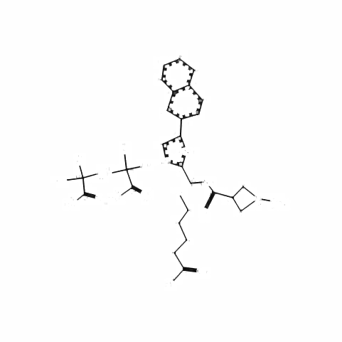 CCC(=O)CCCCC[C@@H](NC(=O)C1CN(C)C1)c1ncc(-c2ccc3ccccc3c2)[nH]1.O=C(O)C(F)(F)F.O=C(O)C(F)(F)F